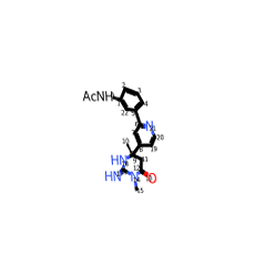 CC(=O)Nc1cccc(-c2cc([C@]3(C)CC(=O)N(C)C(=N)N3)ccn2)c1